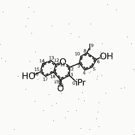 CC(C)c1c(-c2ccc(O)c(I)c2)oc2ccc(O)cc2c1=O